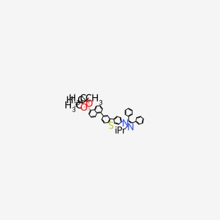 CC(C)c1nc(-c2ccccc2)c(-c2ccccc2)n1-c1ccc2c(c1)sc1ccc(-c3cccc4c(B5OC(C)(C)C(C)(C)O5)cccc34)cc12